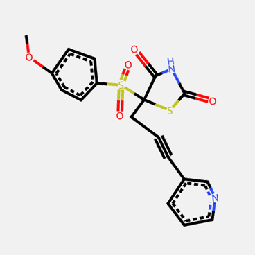 COc1ccc(S(=O)(=O)C2(CC#Cc3cccnc3)SC(=O)NC2=O)cc1